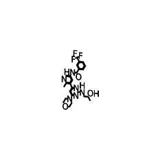 Cc1ncc(NC(=O)c2cccc(C(F)(F)F)c2)cc1-c1cc(N2CCOCC2)nc(NCC(C)O)n1